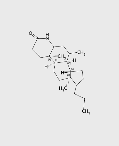 CCCC1CC[C@H]2[C@@H]3C(C)CC4NC(=O)CC[C@]4(C)[C@@H]3CC[C@]12C